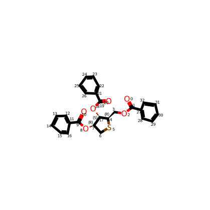 O=C(OC[C@H]1SC[C@H](OC(=O)c2ccccc2)[C@@H]1OC(=O)c1ccccc1)c1ccccc1